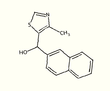 Cc1ncsc1C(O)c1ccc2ccccc2c1